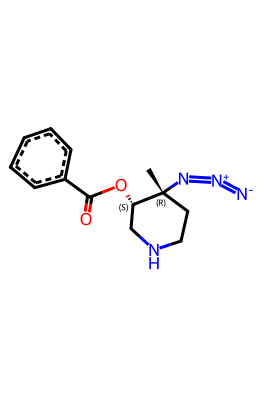 C[C@@]1(N=[N+]=[N-])CCNC[C@@H]1OC(=O)c1ccccc1